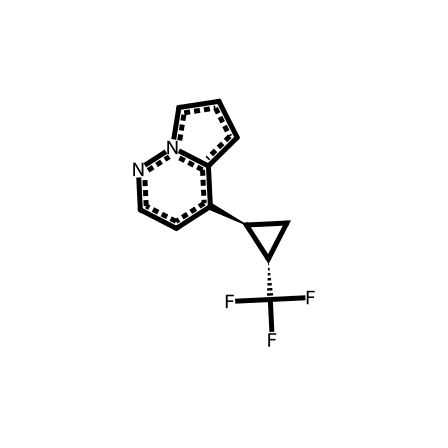 FC(F)(F)[C@H]1C[C@@H]1c1ccnn2cccc12